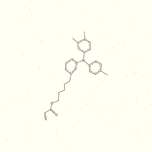 C=CC(=O)OCCCCCc1cccc(N(c2ccc(C)cc2)c2ccc(C)c(C)c2)c1